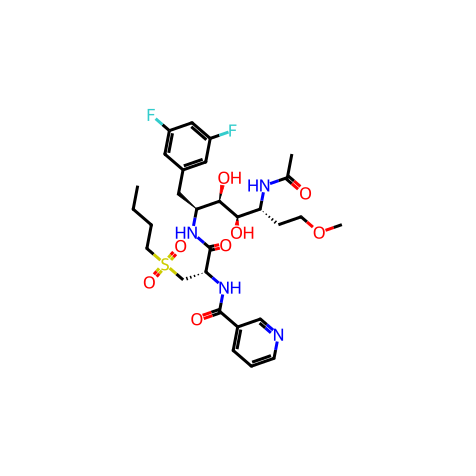 CCCCS(=O)(=O)C[C@@H](NC(=O)c1cccnc1)C(=O)N[C@@H](Cc1cc(F)cc(F)c1)[C@@H](O)[C@H](O)[C@@H](CCOC)NC(C)=O